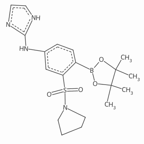 CC1(C)OB(c2ccc(Nc3ncc[nH]3)cc2S(=O)(=O)N2CCCC2)OC1(C)C